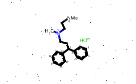 CNCCN(C)CCC(c1ccccc1)c1ccccc1.Cl